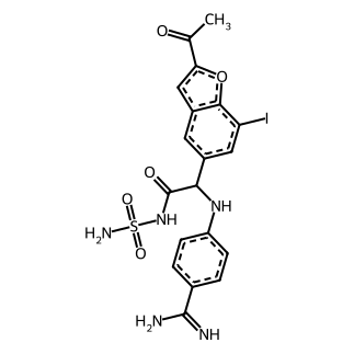 CC(=O)c1cc2cc(C(Nc3ccc(C(=N)N)cc3)C(=O)NS(N)(=O)=O)cc(I)c2o1